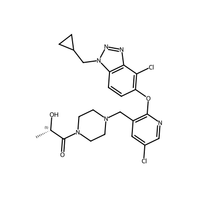 C[C@H](O)C(=O)N1CCN(Cc2cc(Cl)cnc2Oc2ccc3c(nnn3CC3CC3)c2Cl)CC1